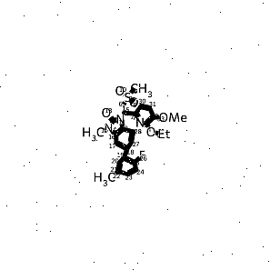 CCOc1nc([C@@H](CS(C)(=O)=O)n2c(=O)n(C)c3cc(-c4cc(C)ccc4F)ccc32)ccc1OC